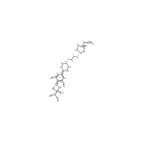 CC[Si@H]1CC[C@H](CCCC[C@H]2CC[C@H](c3cc(F)c(OCC(F)(F)C(F)F)c(F)c3)CC2)CC1